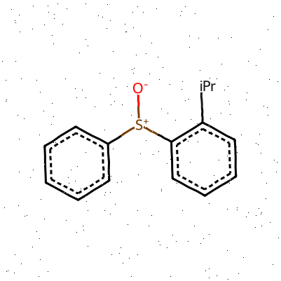 CC(C)c1ccccc1[S+]([O-])c1ccccc1